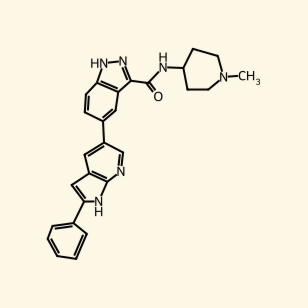 CN1CCC(NC(=O)c2n[nH]c3ccc(-c4cnc5[nH]c(-c6ccccc6)cc5c4)cc23)CC1